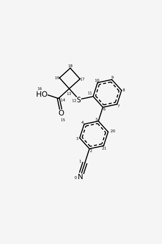 N#Cc1ccc(-c2ccccc2SC2(C(=O)O)CCC2)cc1